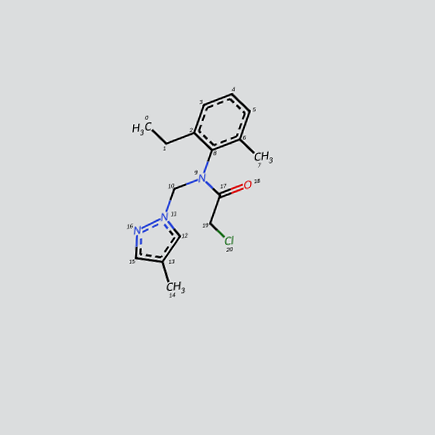 CCc1cccc(C)c1N(Cn1cc(C)cn1)C(=O)CCl